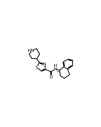 O=C(N[C@@H]1CCCc2ccccc21)c1csc(C2CCNCC2)n1